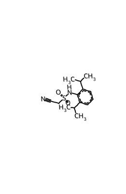 CC(C)c1cccc(C(C)C)c1NS(=O)(=O)CC#N